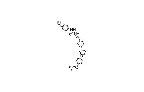 CCOc1ccc(NC(=S)N/N=C/c2ccc(-c3ncn(-c4ccc(OC(F)(F)F)cc4)n3)cc2)cc1